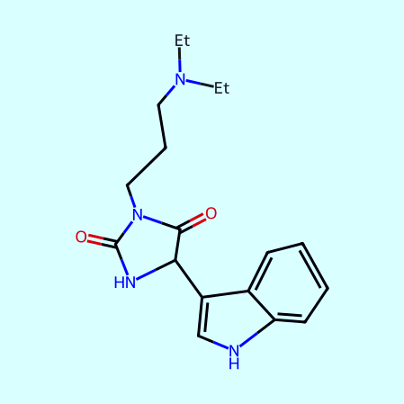 CCN(CC)CCCN1C(=O)NC(c2c[nH]c3ccccc23)C1=O